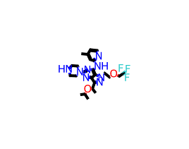 Cc1ccnc(Nc2nc(N3CCNCC3)nc3c(C(C)OC(C)C)nn(CCOCC(F)(F)F)c23)c1